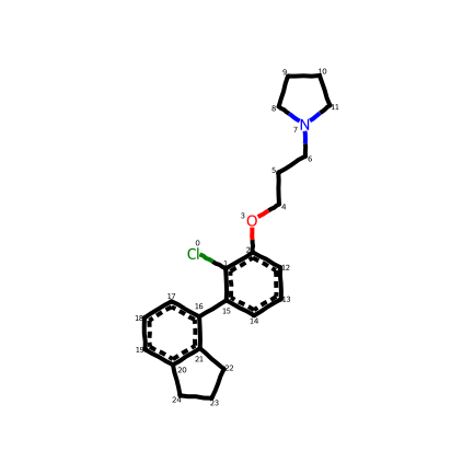 Clc1c(OCCCN2CCCC2)cccc1-c1cccc2c1CCC2